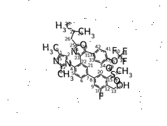 Cc1cn(-c2ccc(-c3cc(F)c(CO)c(S(C)(=O)=O)c3)cc2-c2nc(CC(C)C)oc2-c2ccc(OC(F)(F)F)cc2)c(C)n1